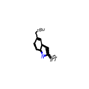 CC(C)C1=CC2C=C(CC(C)(C)C)C=CC2=N1